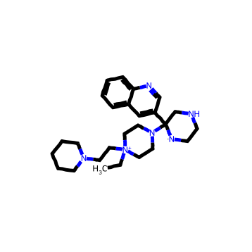 CC[N+]1(CCN2CCCCC2)CCN(C2(c3cnc4ccccc4c3)CNCC[N]2)CC1